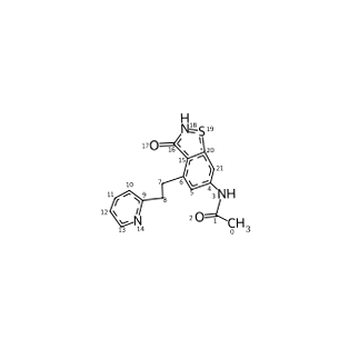 CC(=O)Nc1cc(CCc2ccccn2)c2c(=O)[nH]sc2c1